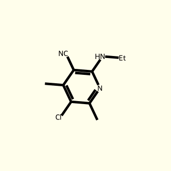 CCNc1nc(C)c(Cl)c(C)c1C#N